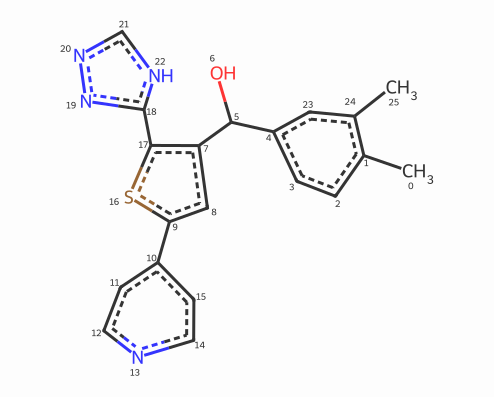 Cc1ccc(C(O)c2cc(-c3ccncc3)sc2-c2nnc[nH]2)cc1C